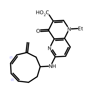 C=C1/C=C\C=C/CCC(Nc2ccc3c(n2)c(=O)c(C(=O)O)cn3CC)C1